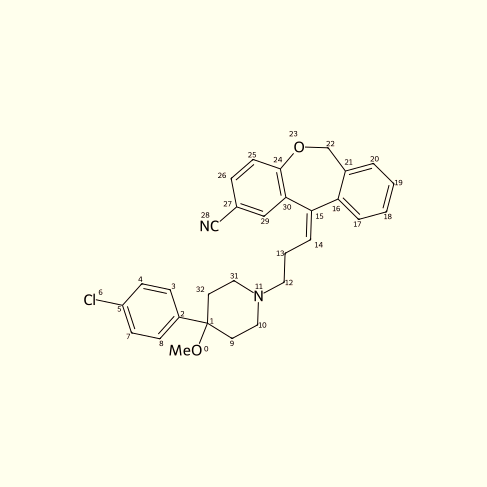 COC1(c2ccc(Cl)cc2)CCN(CCC=C2c3ccccc3COc3ccc(C#N)cc32)CC1